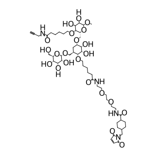 C#CCNC(=O)CCCCCO[C@H]1[C@@H](O)[C@@H](O)[C@@H](OC)O[C@@H]1CO[C@H]1C[C@H](CO[C@H]2O[C@H](CO)[C@@H](O)[C@@H](O)[C@H]2O)[C@@H](OCCCCCC(=O)NCCOCCOCCNC(=O)C2CCC(CN3C(=O)C=CC3=O)CC2)[C@@H](O)[C@H]1O